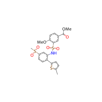 COC(=O)c1ccc(OC)c(S(=O)(=O)Nc2cc(S(C)(=O)=O)ccc2-c2ccc(C)s2)c1